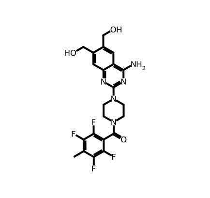 Cc1c(F)c(F)c(C(=O)N2CCN(c3nc(N)c4cc(CO)c(CO)cc4n3)CC2)c(F)c1F